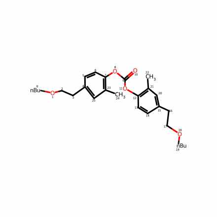 CCCCOCCc1ccc(OC(=O)Oc2ccc(CCOCCCC)cc2C)c(C)c1